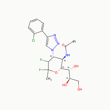 CC(C)C(=O)N[C@H]1[C@H]([C@H](O)[C@H](O)CO)OC(C)(F)C(F)[C@@H]1n1cc(-c2ccccc2Cl)nn1